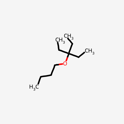 CCCCOC(CC)(CC)CC